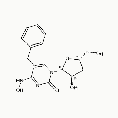 O=c1nc(NO)c(Cc2ccccc2)cn1[C@@H]1O[C@H](CO)C[C@H]1O